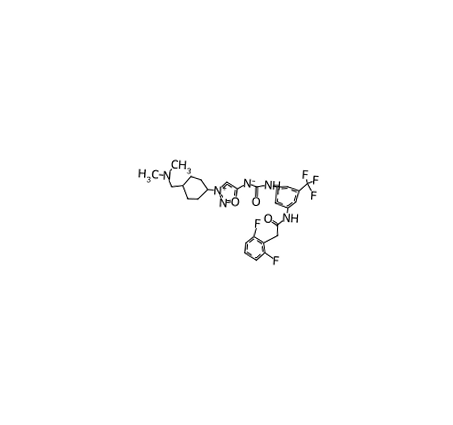 CN(C)CC1CCC([n+]2cc([N-]C(=O)Nc3cc(NC(=O)Cc4c(F)cccc4F)cc(C(F)(F)F)c3)on2)CC1